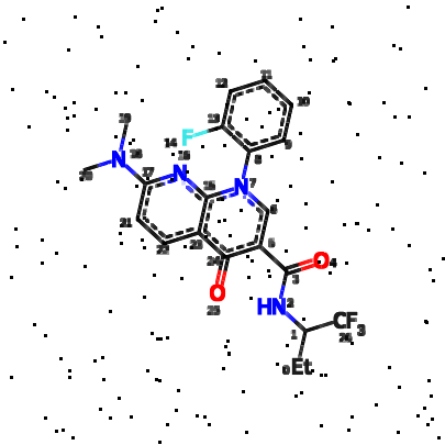 CCC(NC(=O)c1cn(-c2ccccc2F)c2nc(N(C)C)ccc2c1=O)C(F)(F)F